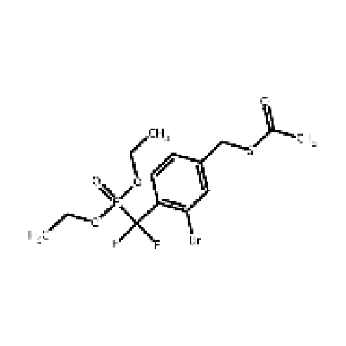 CCOP(=O)(OCC)C(F)(F)c1ccc(CSC(C)=O)cc1Br